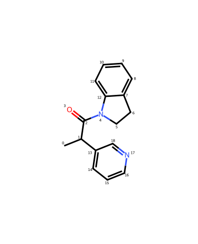 CC(C(=O)N1CCc2ccccc21)c1cccnc1